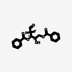 O=CC(F)(F)[C@H](OC(=O)c1ccccc1)[C@H](O)COC(=O)c1ccccc1